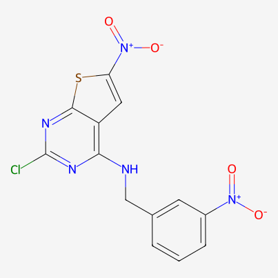 O=[N+]([O-])c1cccc(CNc2nc(Cl)nc3sc([N+](=O)[O-])cc23)c1